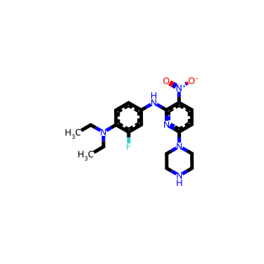 CCN(CC)c1ccc(Nc2nc(N3CCNCC3)ccc2[N+](=O)[O-])cc1F